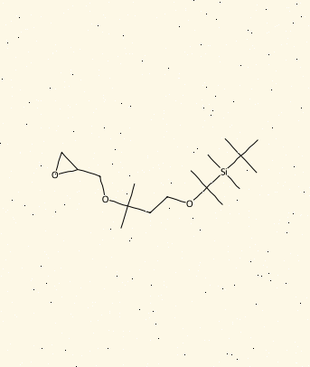 CC(C)(CCOC(C)(C)[Si](C)(C)C(C)(C)C)OCC1CO1